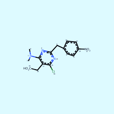 CN(C)c1nc(Cc2ccc([N+](=O)[O-])cc2)nc(Cl)c1CC(=O)O